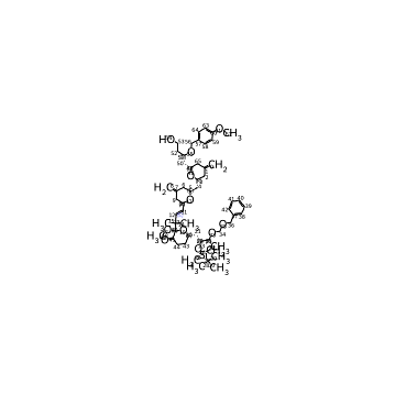 C=C1C[C@H](C[C@@H]2CC(=C)C[C@H](/C=C/C(C)(C)[C@]3(OC)O[C@H](C[C@@H](O[Si](C)(C)C(C)(C)C)[C@@H](C)OCOCc4ccccc4)CCC3=O)O2)O[C@H](C[C@H](CCO)OCc2ccc(OC)cc2)C1